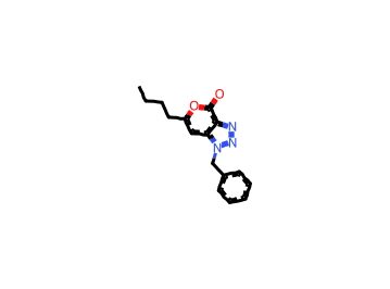 CCCCc1cc2c(nnn2Cc2ccccc2)c(=O)o1